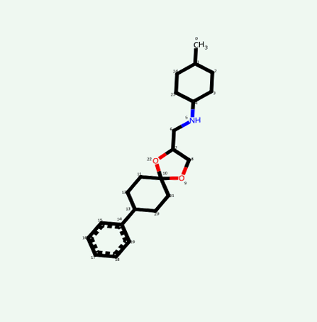 CC1CCC(NCC2COC3(CCC(c4ccccc4)CC3)O2)CC1